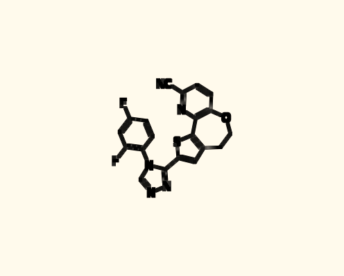 N#Cc1ccc2c(n1)-c1sc(-c3nncn3-c3ccc(F)cc3F)cc1CCO2